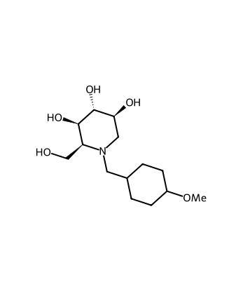 COC1CCC(CN2C[C@H](O)[C@@H](O)[C@H](O)[C@@H]2CO)CC1